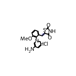 COc1cccc(/C=C2\SC(=O)NC2=O)c1N1C=C(N)C=CC1.Cl